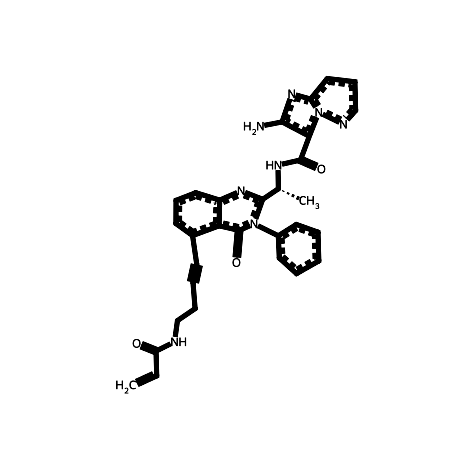 C=CC(=O)NCCC#Cc1cccc2nc([C@@H](C)NC(=O)c3c(N)nc4cccnn34)n(-c3ccccc3)c(=O)c12